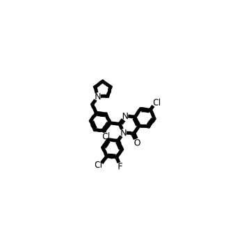 O=c1c2ccc(Cl)cc2nc(-c2cc(CN3CCCC3)ccc2Cl)n1-c1ccc(Cl)c(F)c1